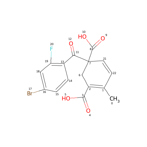 CC1=C(C(=O)O)CC(C(=O)O)(C(=O)c2ccc(Br)cc2F)C=C1